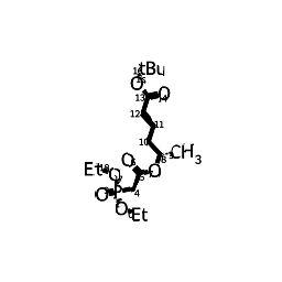 CCOP(=O)(CC(=O)O[C@@H](C)CC=CC(=O)OC(C)(C)C)OCC